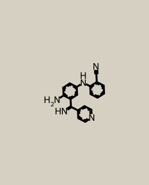 N#Cc1ccccc1Nc1ccc(N)c(C(=N)c2ccncc2)c1